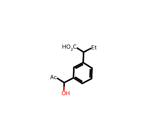 CCC(C(=O)O)c1cccc(C(O)C(C)=O)c1